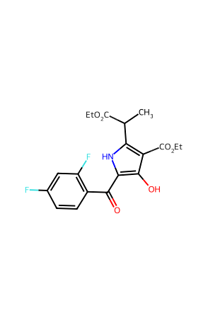 CCOC(=O)c1c(C(C)C(=O)OCC)[nH]c(C(=O)c2ccc(F)cc2F)c1O